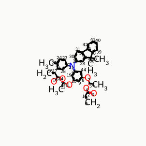 C=CC(=O)OC(C)Oc1cc(OC(C)OC(=O)C=C)cc(N(c2ccc(C)cc2)c2ccc3c(c2)C(C)(C)c2ccccc2-3)c1